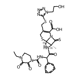 CCN1CCN(C(=O)NC(C(=O)N[C@]2(C)C(=S)N3C(C(=O)O)=C(CSc4nnnn4CCO)CS[C@H]32)c2ccccc2)C(=O)C1=O